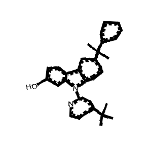 CC(C)(C)c1ccnc(-n2c3ccc(C(C)(C)c4ccccc4)cc3c3ccc(O)cc32)c1